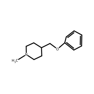 CN1CCC(COc2ccccc2)CC1